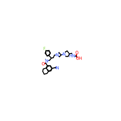 CN(CC(CCN1CC(N2CCC(CNC(=O)O)CC2)C1)c1ccc(F)cc1)C(=O)c1cc(C#N)cc2c1CCCC2